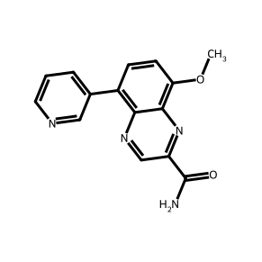 COc1ccc(-c2cccnc2)c2ncc(C(N)=O)nc12